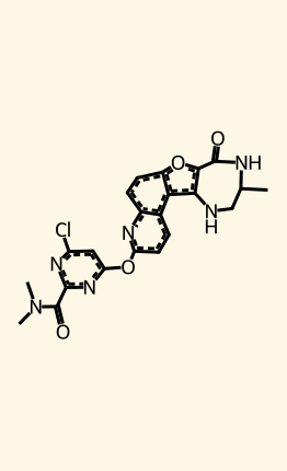 CC1CNc2c(oc3ccc4nc(Oc5cc(Cl)nc(C(=O)N(C)C)n5)ccc4c23)C(=O)N1